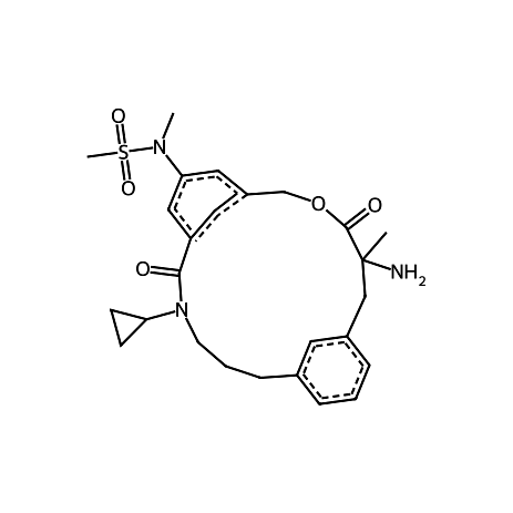 CN(c1cc2cc(c1)C(=O)N(C1CC1)CCCc1cccc(c1)CC(C)(N)C(=O)OC2)S(C)(=O)=O